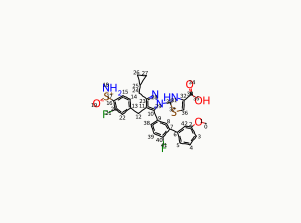 COc1cccc(-c2cc(-c3c(Cc4ccc([S+](N)[O-])c(F)c4)c(CC4CC4)nn3C3NC(C(=O)O)=CS3)ccc2F)c1